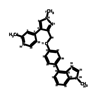 Cc1cc(-c2cn(C)nc2COc2ccc(-c3cccc4c3ncn4C)cc2)ccn1